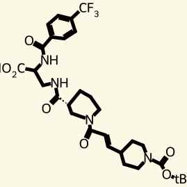 CC(C)(C)OC(=O)N1CCC(/C=C/C(=O)N2CCC[C@@H](C(=O)NCC(NC(=O)c3ccc(C(F)(F)F)cc3)C(=O)O)C2)CC1